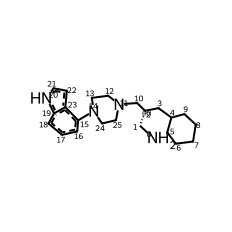 NC[C@@H](CC1CCCCC1)CN1CCN(c2cccc3[nH]ccc23)CC1